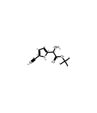 CC(C)(C)OC(=O)C(N)c1ccc(C#N)s1